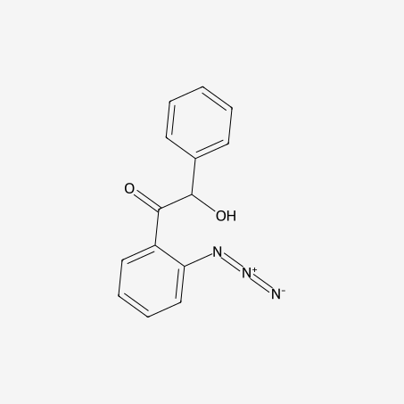 [N-]=[N+]=Nc1ccccc1C(=O)C(O)c1ccccc1